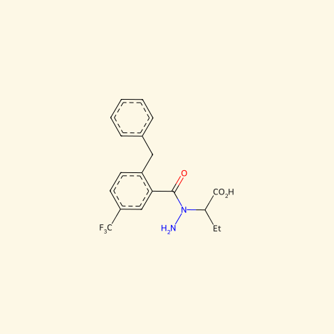 CCC(C(=O)O)N(N)C(=O)c1cc(C(F)(F)F)ccc1Cc1ccccc1